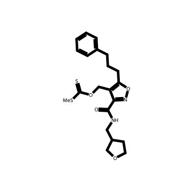 CSC(=S)OCc1c(C(=O)NCC2CCOC2)noc1CCCc1ccccc1